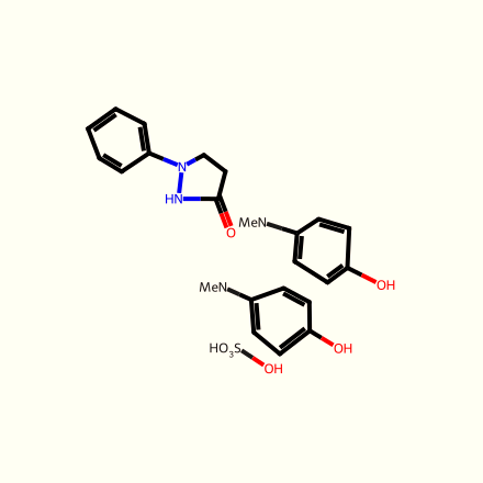 CNc1ccc(O)cc1.CNc1ccc(O)cc1.O=C1CCN(c2ccccc2)N1.O=S(=O)(O)O